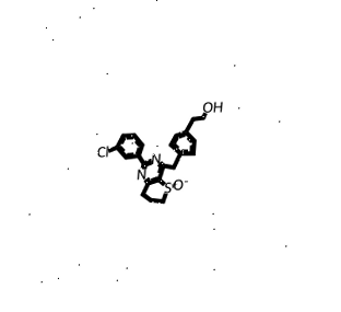 [O-][S+]1CCCc2nc(-c3cccc(Cl)c3)nc(Cc3ccc(CCO)cc3)c21